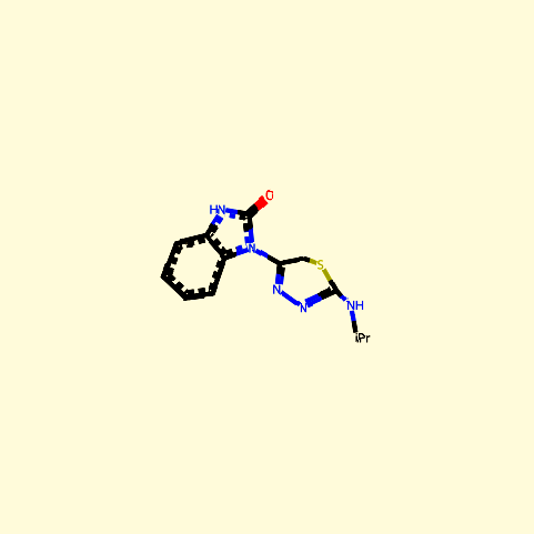 CC(C)NC1=NN=C(n2c(=O)[nH]c3ccccc32)CS1